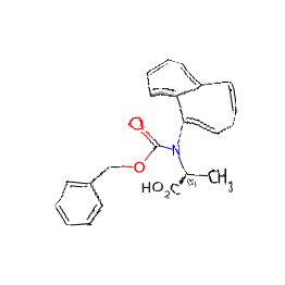 C[C@@H](C(=O)O)N(C(=O)OCc1ccccc1)c1cccc2ccccc12